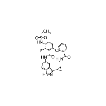 CCS(=O)(=O)Nc1ccc(Cl)c(C(=O)Nc2cnc3[nH]nc(C4CC4)c3c2)c1F.NC(=O)c1ccccc1